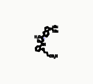 CCCCC(CCCC)n1ccc2cc(/C(C)=C/C(=O)Nc3ccccc3OCCCC(=O)O)ccc21